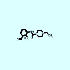 CCN1CCN(C(=O)Nc2cccc(C=O)c2C)CC1